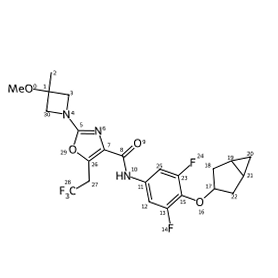 COC1(C)CN(c2nc(C(=O)Nc3cc(F)c(OC4CC5CC5C4)c(F)c3)c(CC(F)(F)F)o2)C1